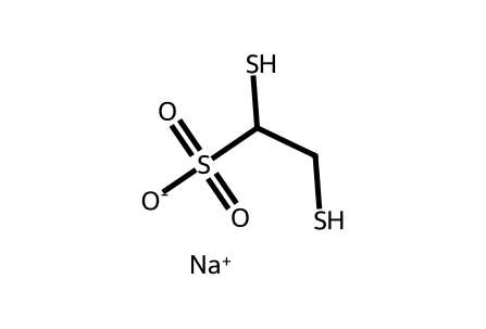 O=S(=O)([O-])C(S)CS.[Na+]